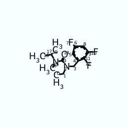 CCN(Cc1cc(F)cc(F)c1F)C(=O)N(C)C(C)C